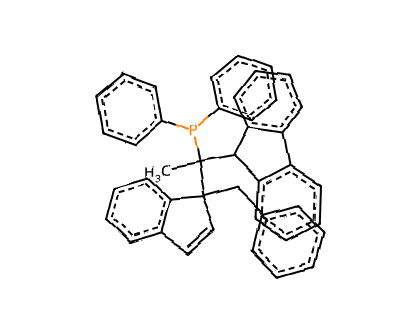 CC(C1c2ccccc2-c2ccccc21)(P(c1ccccc1)c1ccccc1)C1(Cc2ccccc2)C=Cc2ccccc21